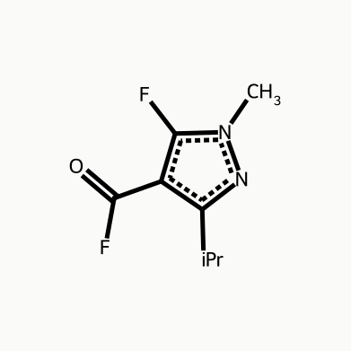 CC(C)c1nn(C)c(F)c1C(=O)F